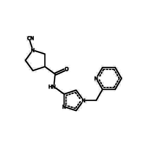 N#CN1CCC(C(=O)Nc2cn(Cc3ccccn3)cn2)C1